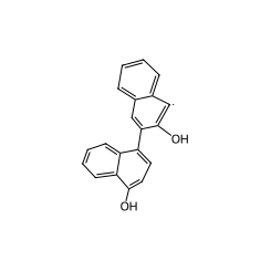 Oc1[c]c2ccccc2cc1-c1ccc(O)c2ccccc12